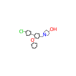 OC1CCN(Cc2ccc(-c3ccc(Cl)cc3)c(Oc3ccccc3)c2)CC1